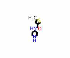 Cc1cc(C(=O)NC2CCNCC2)cs1